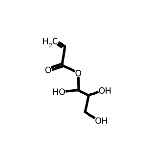 C=CC(=O)OC(O)C(O)CO